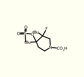 CC(C)(C)C1(F)CN(C(=O)O)CCC1(OS(C)(=O)=O)C(C)(C)C